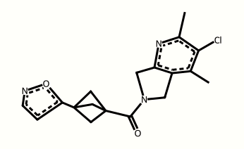 Cc1nc2c(c(C)c1Cl)CN(C(=O)C13CC(c4ccno4)(C1)C3)C2